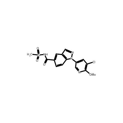 CC(C)COc1ncc(-n2ncc3cc(C(=O)NS(C)(=O)=O)ccc32)cc1Cl